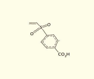 C=CS(=O)(=O)c1c[c]c(C(=O)O)cc1